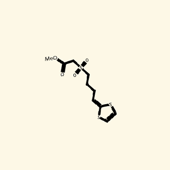 COC(=O)CS(=O)(=O)CCCC=C1SC=CS1